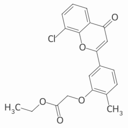 CCOC(=O)COc1cc(-c2cc(=O)c3cccc(Cl)c3o2)ccc1C